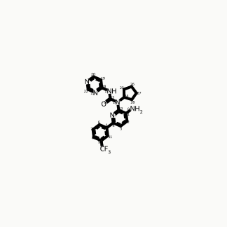 Nc1ccc(-c2cccc(C(F)(F)F)c2)nc1N(C(=O)Nc1ccncn1)C1CCCC1